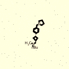 CCCCN(C)C[C@H]1C[C@H](c2ccc(CN3CCCC3)cc2)C1